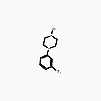 CCCCN1CCN(c2cccc(C(F)(F)F)c2)CC1